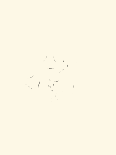 O=C(O)Cn1cc(C2=NN(Cc3ccccc3)C(=O)C3CC=CCC23)c2ccccc21